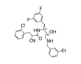 CCc1cccc(CNC[C@@H](O)[C@H](Cc2cc(F)cc(F)c2)NC(=O)C(C#N)Cc2ccccc2Cl)c1